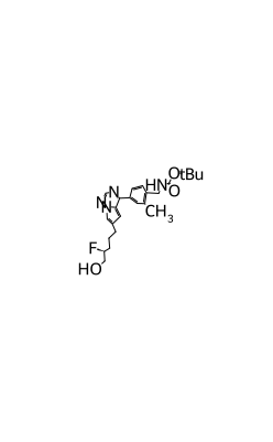 Cc1cc(-c2ncnn3cc(CCC[C@H](F)CO)cc23)ccc1CNC(=O)OC(C)(C)C